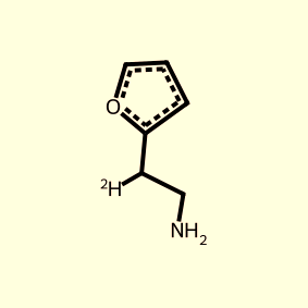 [2H]C(CN)c1ccco1